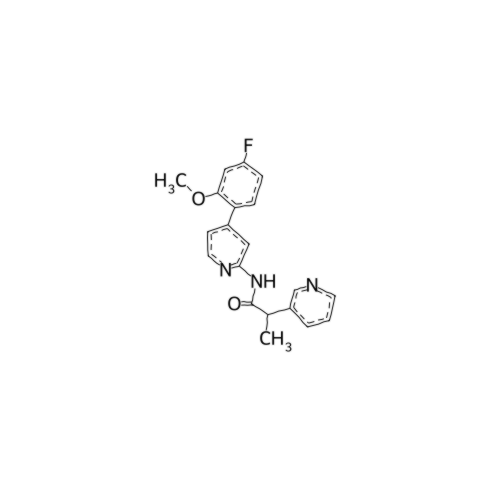 COc1cc(F)ccc1-c1ccnc(NC(=O)C(C)c2cccnc2)c1